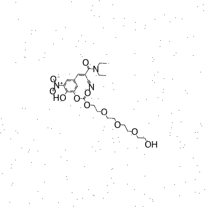 CCN(CC)C(=O)/C(C#N)=C/c1cc(OC(=O)OCCOCCOCCOCCO)c(O)c([N+](=O)[O-])c1